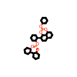 c1ccc(OP2Oc3cccc4ccc(-c5ccccc5Op5oc6ccccc6c6ccccc6o5)c(c34)O2)cc1